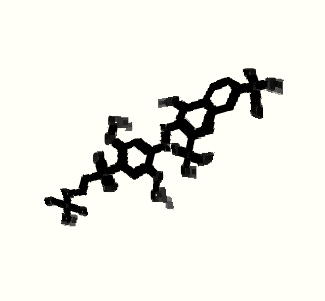 COc1cc(S(=O)(=O)CCOS(=O)(=O)O)c(OC)cc1/N=N/c1c(S(=O)(=O)O)cc2cc(S(=O)(=O)O)ccc2c1O